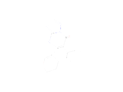 CC(C)c1c(C2=COCCC2)[nH]c2ncnn2c1=O